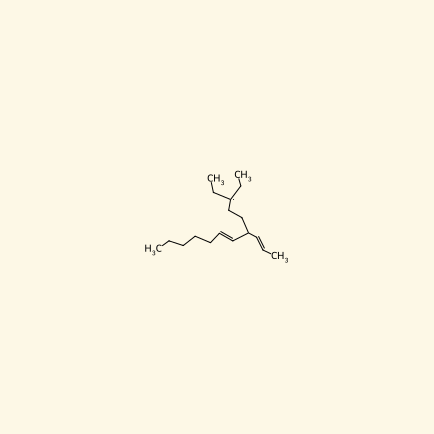 CC=CC(C=CCCCCC)CC[C](CC)CC